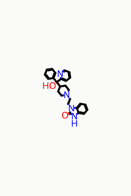 O=c1[nH]c2ccccc2n1CCN1CCC(C(O)(c2ccccc2)c2ccccn2)CC1